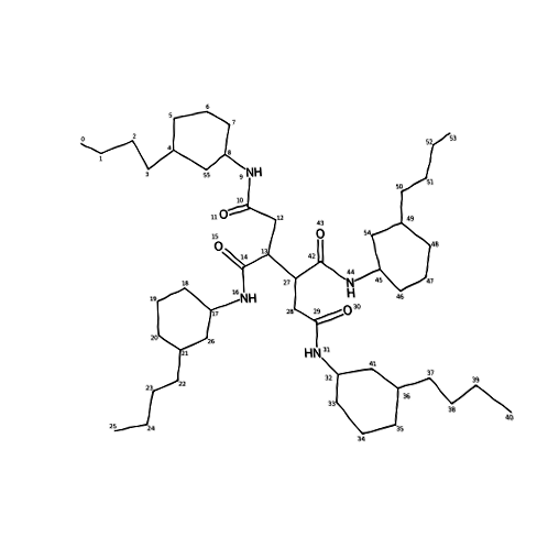 CCCCC1CCCC(NC(=O)CC(C(=O)NC2CCCC(CCCC)C2)C(CC(=O)NC2CCCC(CCCC)C2)C(=O)NC2CCCC(CCCC)C2)C1